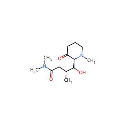 C[C@H](CC(=O)N(C)C)C(O)[C@H]1C(=O)CCCN1C